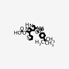 CC(C)(C)c1ccc(S(=O)(=O)Nc2cnc3[nH]c(OC(=O)O)c(-c4cccs4)c3c2)cc1